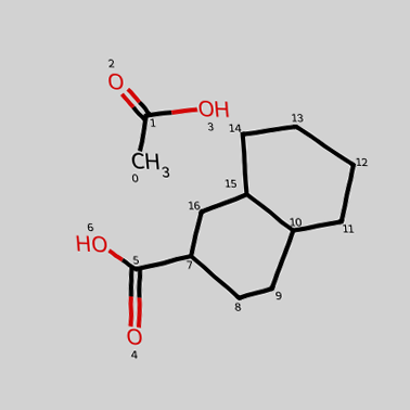 CC(=O)O.O=C(O)C1CCC2CCCCC2C1